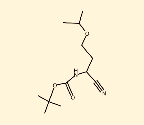 CC(C)OCCC(C#N)NC(=O)OC(C)(C)C